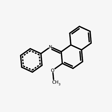 COC1=CC=C2C=CC=CC2C1=Nc1ccccc1